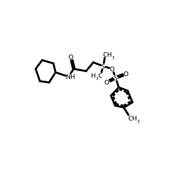 Cc1ccc(S(=O)(=O)OS(C)(C)CCC(=O)NC2CCCCC2)cc1